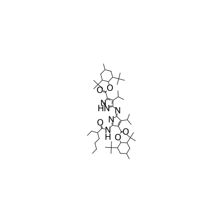 CCCCC(CC)C(=O)NC1=N/C(=N\c2[nH]nc(C(=O)OC3C(C(C)(C)C)CC(C)CC3C(C)(C)C)c2C(C)C)C(C(C)C)=C1C(=O)OC1C(C(C)(C)C)CC(C)CC1C(C)(C)C